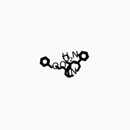 COC(=O)C12C=C(c3ccccc3N)CCN3CC(CC(CCOCc4ccccc4)C31)C2